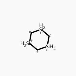 C1[SiH2]C[SiH2]C[SiH2]1